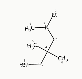 CCN(C)CC(C)(C)CC(C)(C)C